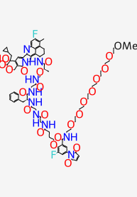 COCCOCCOCCOCCOCCOCCOCCOCCNC(=O)c1cc(N2C(=O)C=CC2=O)cc(F)c1OCCCC(=O)NCC(=O)NCC(=O)N[C@@H](Cc1ccccc1)C(=O)NCC(=O)NCO[C@H](C)C(=O)N[C@H]1CCc2c(C)c(F)cc3nc4c(c1c23)Cn1c-4cc2c(c1=O)COC(=O)[C@]2(O)CC1CC1